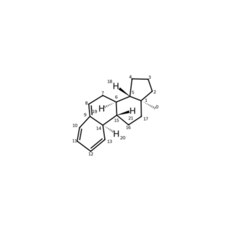 C[C@@]12CCC[C@H]1[C@@H]1CC=C3C=CC=C[C@@H]3[C@H]1CC2